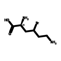 NCCC(Br)C[C@H](N)C(=O)O